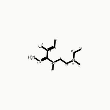 C/C=C(Cl)/C(=N\N)N(C)CCN(C)CC